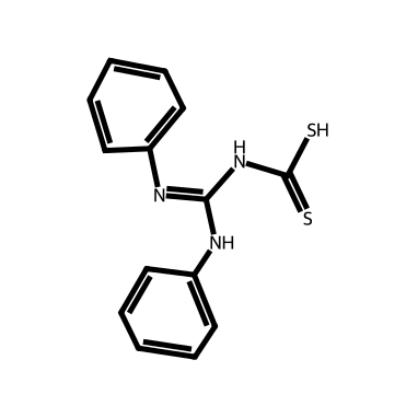 S=C(S)N/C(=N\c1ccccc1)Nc1ccccc1